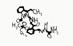 CCC1=C2C=CC=CC2N(C(=O)OC(C)(C)C)N1NCC(=O)c1ccccc1C=NNC(N)=O